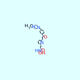 CN1CCN(Cc2ccc(C(=O)C=Cc3cccc(C=CC(=O)NO)n3)cc2)CC1